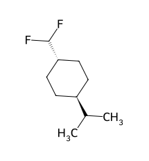 CC(C)[C@H]1CC[C@H](C(F)F)CC1